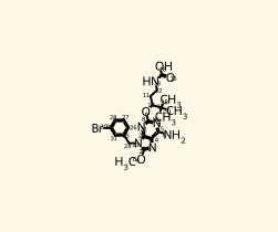 COc1nc2c(N)nc(OC(CCNC(=O)O)C(C)(C)C)nc2n1Cc1cccc(Br)c1